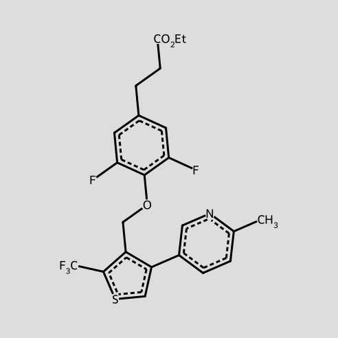 CCOC(=O)CCc1cc(F)c(OCc2c(-c3ccc(C)nc3)csc2C(F)(F)F)c(F)c1